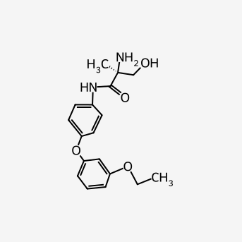 CCOc1cccc(Oc2ccc(NC(=O)[C@@](C)(N)CO)cc2)c1